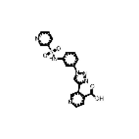 O=C(O)c1ccncc1-c1cn(-c2cccc(NS(=O)(=O)c3cccnc3)c2)nn1